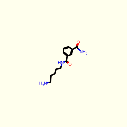 NCCCCCNC(=O)c1cccc(C(N)=O)c1